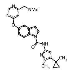 CNCc1cc(Oc2ccc3c(ccn3C(=O)Nc3cc(C4(C)CC4)n(C)n3)c2)ncn1